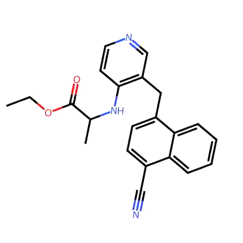 CCOC(=O)C(C)Nc1ccncc1Cc1ccc(C#N)c2ccccc12